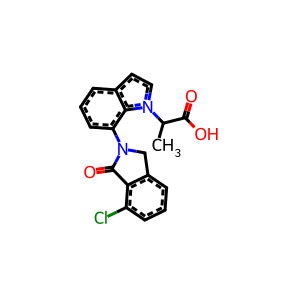 CC(C(=O)O)n1ccc2cccc(N3Cc4cccc(Cl)c4C3=O)c21